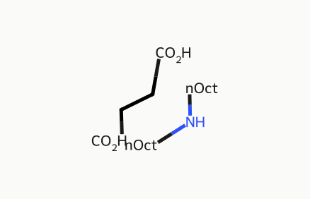 CCCCCCCCNCCCCCCCC.O=C(O)CCC(=O)O